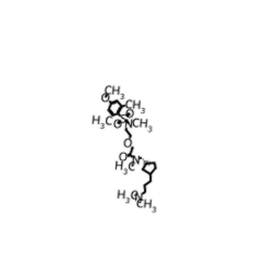 COc1cc(C)c(S(=O)(=O)N(C)CCOCC(=O)N(C)C[C@@H]2CCC(CCCN(C)C)C2)c(C)c1